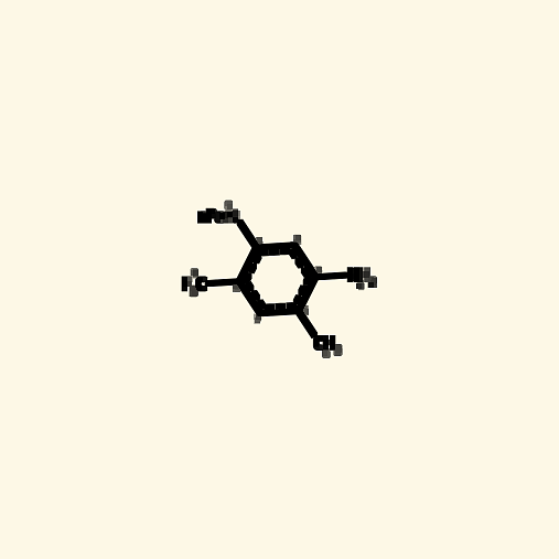 CCCCCc1cc(N)c(C)cc1C(F)(F)F